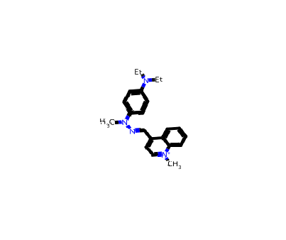 CCN(CC)c1ccc(N(C)N=Cc2cc[n+](C)c3ccccc23)cc1